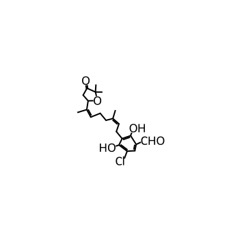 CC(=CCc1c(O)c(Cl)cc(C=O)c1O)CCC=C(C)C1CC(=O)C(C)(C)O1